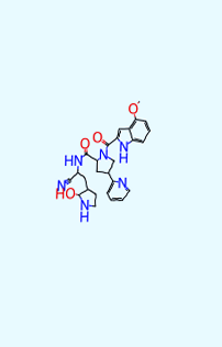 COc1cccc2[nH]c(C(=O)N3CC(c4ccccn4)CC3C(=O)NC(C#N)CC3CCNC3O)cc12